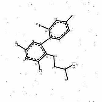 Cc1ccc(-c2cc(Cl)nc(Cl)c2CCC(C)O)c(F)c1